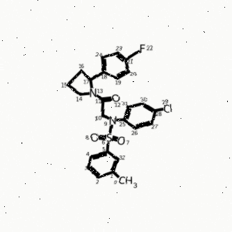 Cc1cccc(S(=O)(=O)N(CC(=O)N2CCCC2c2ccc(F)cc2)c2ccc(Cl)cc2)c1